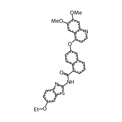 CCOc1ccc2nc(NC(=O)c3cccc4cc(Oc5ccnc6cc(OC)c(OC)cc56)ccc34)sc2c1